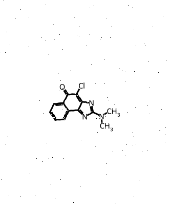 CN(C)C1=NC2=C(Cl)C(=O)c3ccccc3C2=N1